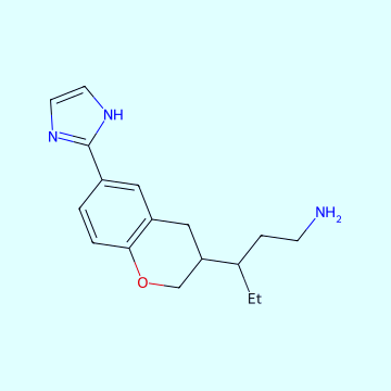 CCC(CCN)C1COc2ccc(-c3ncc[nH]3)cc2C1